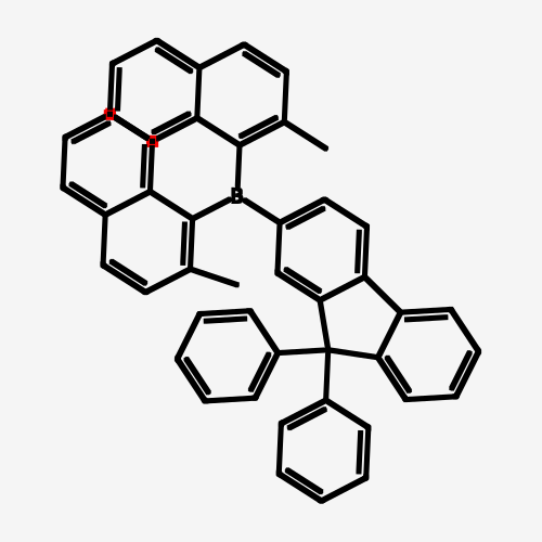 Cc1ccc2ccccc2c1B(c1ccc2c(c1)C(c1ccccc1)(c1ccccc1)c1ccccc1-2)c1c(C)ccc2ccccc12